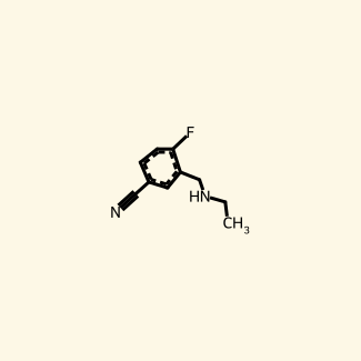 CCNCc1cc(C#N)ccc1F